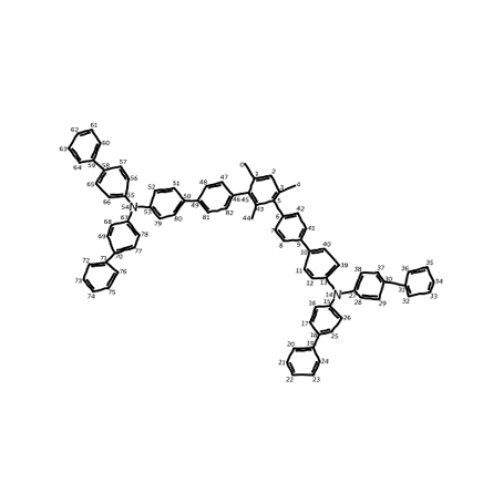 Cc1cc(C)c(-c2ccc(-c3ccc(N(c4ccc(-c5ccccc5)cc4)c4ccc(-c5ccccc5)cc4)cc3)cc2)c(C)c1-c1ccc(-c2ccc(N(c3ccc(-c4ccccc4)cc3)c3ccc(-c4ccccc4)cc3)cc2)cc1